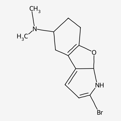 CN(C)C1CCC2=C(C1)C1=CC=C(Br)NC1O2